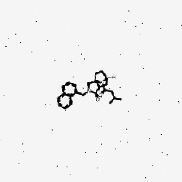 CC(C)CC(=O)N1[C@H]2CC[C@@]13CN(Cc1cccc4ccccc14)C(=O)[C@H]3C2